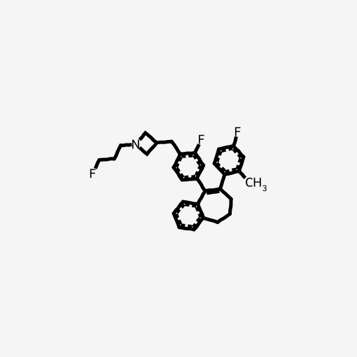 Cc1cc(F)ccc1C1=C(c2ccc(CC3CN(CCCF)C3)c(F)c2)c2ccccc2CCC1